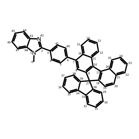 Cn1c(-c2ccc(-c3cc4c(c5ccccc35)-c3c(ccc5ccccc35)C43c4ccccc4-c4ccccc43)cc2)nc2ccccc21